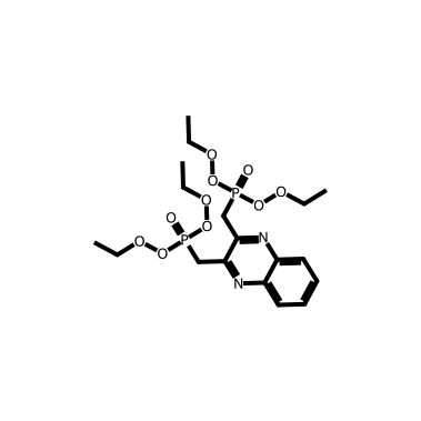 CCOOP(=O)(Cc1nc2ccccc2nc1CP(=O)(OOCC)OOCC)OOCC